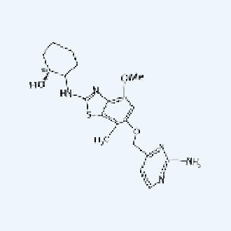 COc1cc(OCc2ccnc(N)n2)c(C)c2sc(NC3CCCC[C@@H]3O)nc12